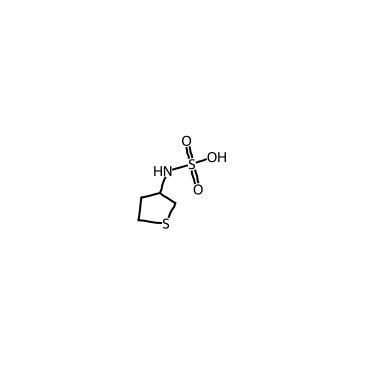 O=S(=O)(O)NC1CCSC1